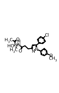 COc1ccc(-n2nc(CCC(=O)N[N+](C)(O)C(C)=O)cc2-c2ccc(Cl)cc2)cc1